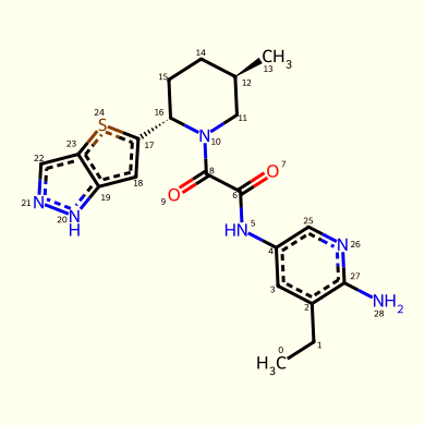 CCc1cc(NC(=O)C(=O)N2C[C@H](C)CC[C@H]2c2cc3[nH]ncc3s2)cnc1N